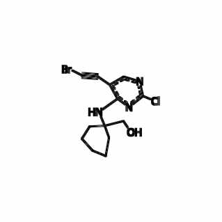 OCC1(Nc2nc(Cl)ncc2C#CBr)CCCCC1